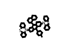 Cc1ccc(-c2c3cc(N4c5ccccc5Sc5ccccc54)ccc3c(-c3cccc4ccccc34)c3cc(N4c5ccccc5Sc5ccccc54)ccc23)cc1